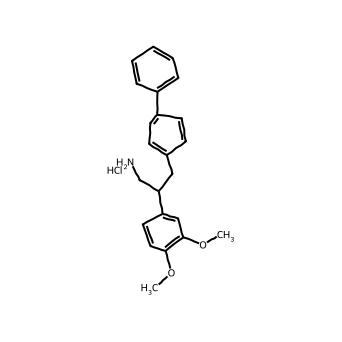 COc1ccc(C(CN)Cc2ccc(-c3ccccc3)cc2)cc1OC.Cl